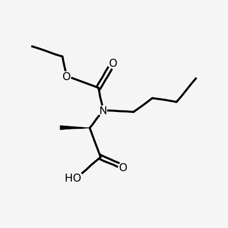 CCCCN(C(=O)OCC)[C@H](C)C(=O)O